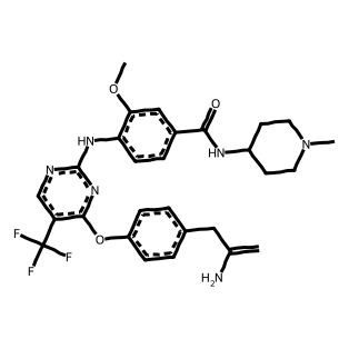 C=C(N)Cc1ccc(Oc2nc(Nc3ccc(C(=O)NC4CCN(C)CC4)cc3OC)ncc2C(F)(F)F)cc1